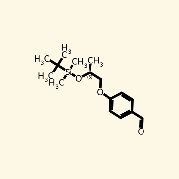 C[C@@H](COc1ccc(C=O)cc1)O[Si](C)(C)C(C)(C)C